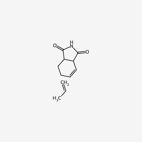 C=CC.O=C1NC(=O)C2CCC=CC12